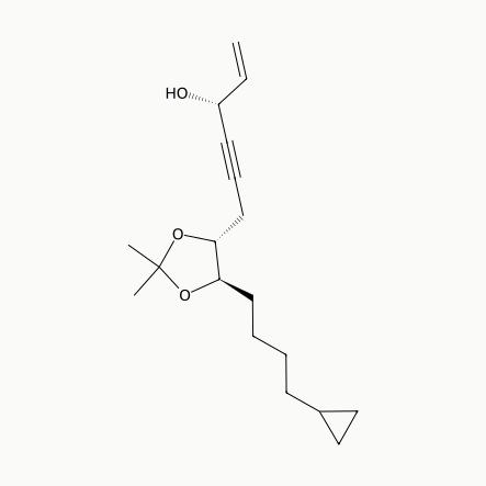 C=C[C@@H](O)C#CC[C@H]1OC(C)(C)O[C@@H]1CCCCC1CC1